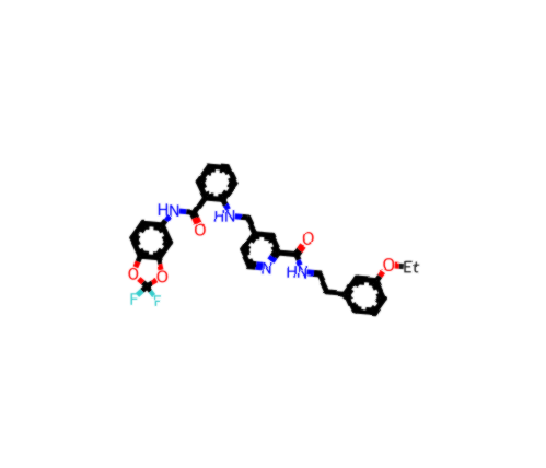 CCOc1cccc(CCNC(=O)c2cc(CNc3ccccc3C(=O)Nc3ccc4c(c3)OC(F)(F)O4)ccn2)c1